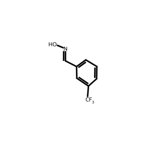 ON=Cc1cccc(C(F)(F)F)c1